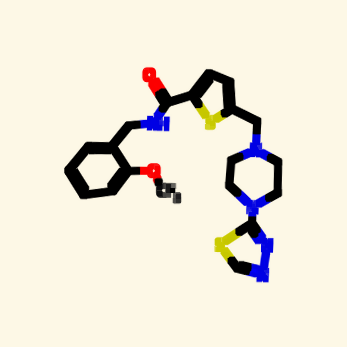 O=C(NCc1ccccc1OC(F)(F)F)c1ccc(CN2CCN(c3nncs3)CC2)s1